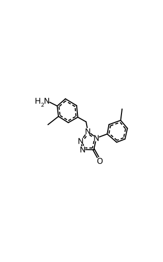 Cc1cccc(-n2c(=O)nnn2Cc2ccc(N)c(C)c2)c1